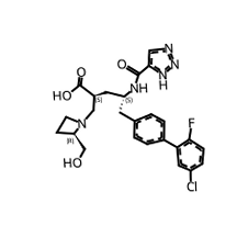 O=C(N[C@H](Cc1ccc(-c2cc(Cl)ccc2F)cc1)C[C@@H](CN1CC[C@@H]1CO)C(=O)O)c1cnn[nH]1